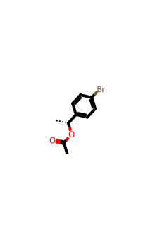 CC(=O)O[C@H](C)c1ccc(Br)cc1